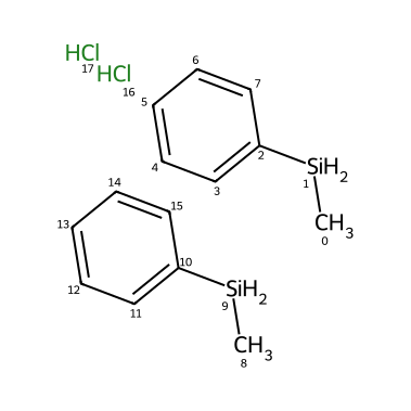 C[SiH2]c1ccccc1.C[SiH2]c1ccccc1.Cl.Cl